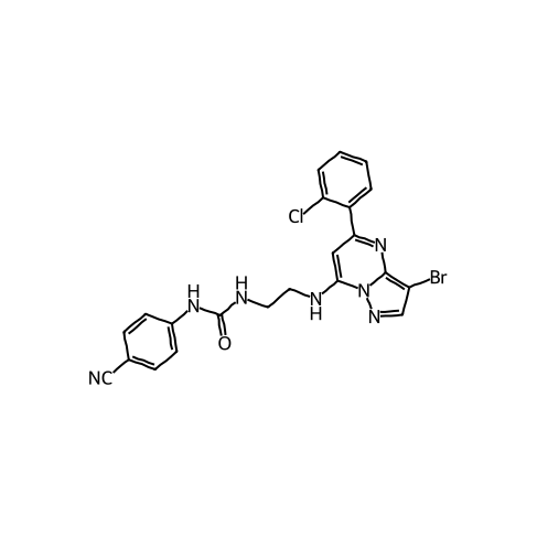 N#Cc1ccc(NC(=O)NCCNc2cc(-c3ccccc3Cl)nc3c(Br)cnn23)cc1